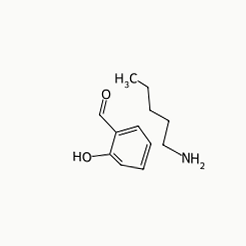 CCCCCN.O=Cc1ccccc1O